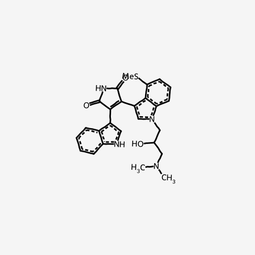 CSc1cccc2c1c(C1=C(c3c[nH]c4ccccc34)C(=O)NC1=O)cn2CC(O)CN(C)C